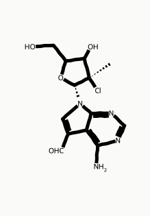 C[C@@]1(Cl)C(O)C(CO)O[C@H]1n1cc(C=O)c2c(N)ncnc21